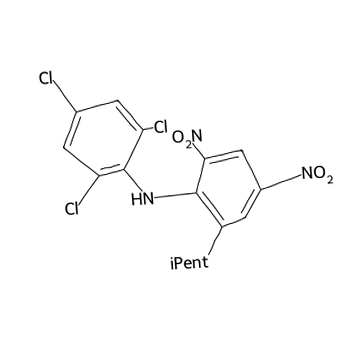 CCCC(C)c1cc([N+](=O)[O-])cc([N+](=O)[O-])c1Nc1c(Cl)cc(Cl)cc1Cl